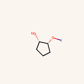 O[C@H]1CCC[C@H]1OI